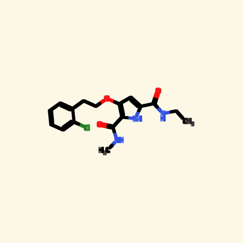 CCNC(=O)c1cc(OCCc2ccccc2Cl)c(C(=O)NC)[nH]1